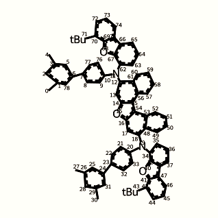 Cc1cc(C)cc(-c2ccc(N(c3cc4oc5cc(N(c6ccc(-c7cc(C)cc(C)c7)cc6)c6cccc7c6oc6c(C(C)(C)C)cccc67)c6ccccc6c5c4c4ccccc34)c3cccc4c3oc3c(C(C)(C)C)cccc34)cc2)c1